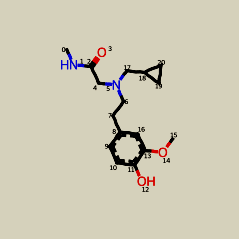 CNC(=O)CN(CCc1ccc(O)c(OC)c1)CC1CC1